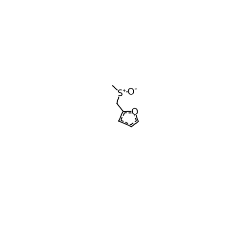 C[S+]([O-])Cc1ccco1